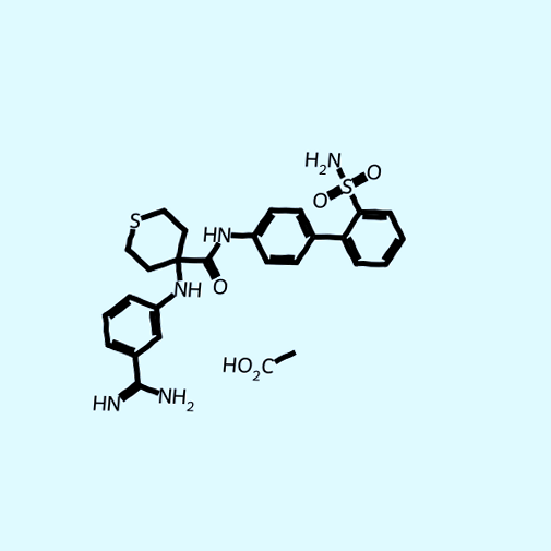 CC(=O)O.N=C(N)c1cccc(NC2(C(=O)Nc3ccc(-c4ccccc4S(N)(=O)=O)cc3)CCSCC2)c1